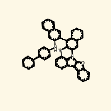 B1c2c(cc3ccccc3c2-c2cc3ccccc3cc2Nc2ccc(-c3ccccc3)cc2)-n2c3oc4ccccc4c3c3cccc1c32